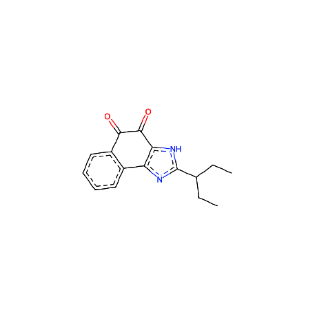 CCC(CC)c1nc2c([nH]1)C(=O)C(=O)c1ccccc1-2